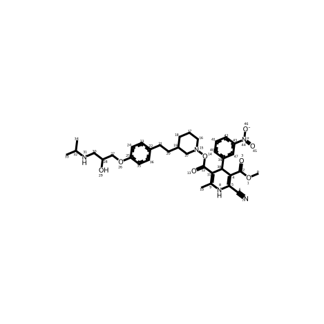 COC(=O)C1=C(C#N)NC(C)=C(C(=O)ON2CCCC(CCc3ccc(OCC(O)CNC(C)C)cc3)C2)C1c1cccc([N+](=O)[O-])c1